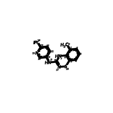 Cc1cccc2c1NC(Nc1ccc(C(C)C)nc1)=NS2